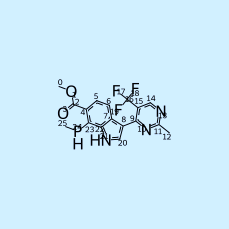 COC(=O)c1ccc2c(-c3nc(C)ncc3C(F)(F)F)c[nH]c2c1PC